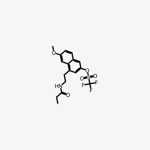 CCC(=O)NCCc1cc(OS(=O)(=O)C(F)(F)F)cc2ccc(OC)cc12